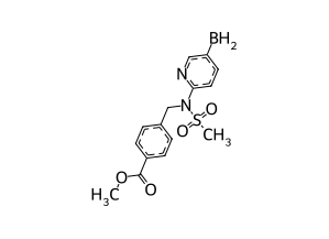 Bc1ccc(N(Cc2ccc(C(=O)OC)cc2)S(C)(=O)=O)nc1